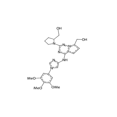 COc1cc(-n2cnc(Nc3nc(N4CCCC4CO)nn4c(CO)ccc34)c2)cc(OC)c1OC